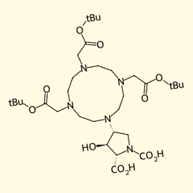 CC(C)(C)OC(=O)CN1CCN(CC(=O)OC(C)(C)C)CCN([C@@H]2CN(C(=O)O)[C@H](C(=O)O)[C@H]2O)CCN(CC(=O)OC(C)(C)C)CC1